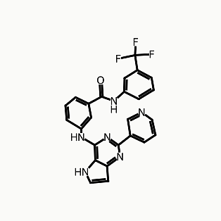 O=C(Nc1cccc(C(F)(F)F)c1)c1cccc(Nc2nc(-c3cccnc3)nc3cc[nH]c23)c1